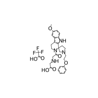 COc1ccc2[nH]c3c(c2c1)CCN(C(=O)CNCC(=O)O)C31CCN(CCOc2ccccc2)C1.O=C(O)C(F)(F)F